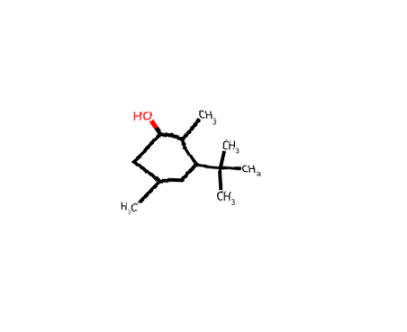 CC1CC(O)C(C)C(C(C)(C)C)C1